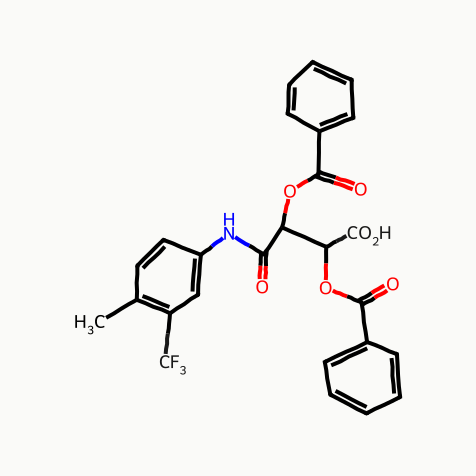 Cc1ccc(NC(=O)C(OC(=O)c2ccccc2)C(OC(=O)c2ccccc2)C(=O)O)cc1C(F)(F)F